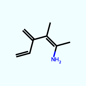 C=CC(=C)/C(C)=C(/C)N